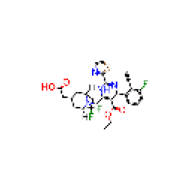 C#Cc1c(F)cccc1C1N=C(c2nccs2)NC(CN2[C@@H]3C[C@H](CC(=O)O)C[C@H]2C(F)(F)C3)=C1C(=O)OCC